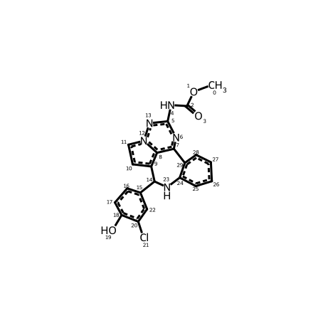 COC(=O)Nc1nc2c3c(ccn3n1)C(c1ccc(O)c(Cl)c1)Nc1ccccc1-2